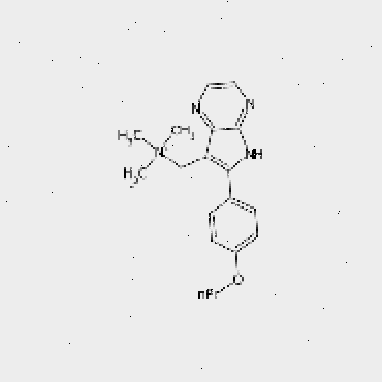 CCCOc1ccc(-c2[nH]c3nccnc3c2C[N+](C)(C)C)cc1.[I-]